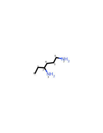 [CH2]CC(N)CCCN